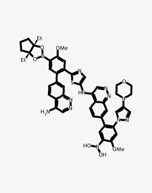 CC[C@@]12CCC[C@]1(CC)OB(c1cc(-c3ccc4c(N)cnnc4c3)c(-c3ncc(Nc4cnnc5cc(-c6cc(B(O)O)c(OC)cc6-n6cc(N7CCOCC7)cn6)ccc45)s3)cc1OC)O2